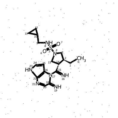 CC[C@@H]1CN(S(=O)(=O)NCC2CC2)C[C@@H]1C(=N)n1c(=N)cnc2[nH]ccc21